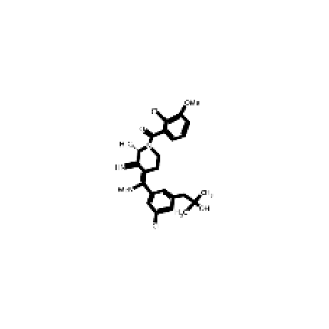 CN/C(=C1/CCN(C(=O)c2cccc(OC)c2Cl)[C@@H](C)C1=N)c1cc(Cl)cc(CC(C)(C)O)c1